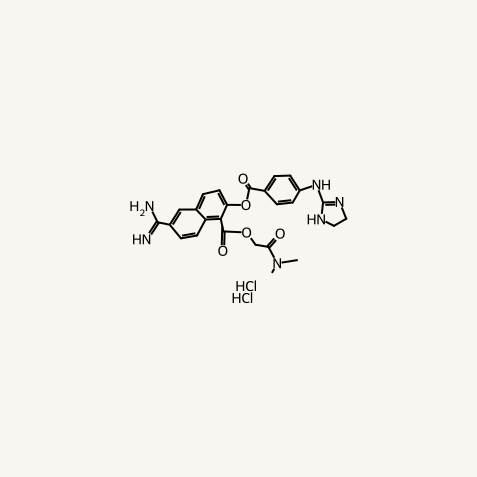 CN(C)C(=O)COC(=O)c1c(OC(=O)c2ccc(NC3=NCCN3)cc2)ccc2cc(C(=N)N)ccc12.Cl.Cl